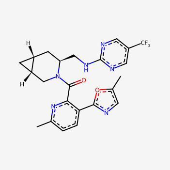 Cc1ccc(-c2ncc(C)o2)c(C(=O)N2C[C@@H]3C[C@@H]3C[C@H]2CNc2ncc(C(F)(F)F)cn2)n1